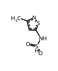 Cc1cc(N[SH](=O)=O)sn1